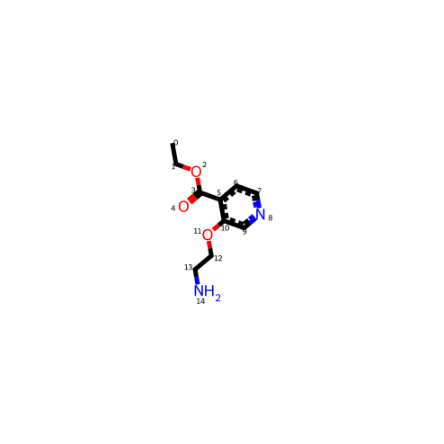 CCOC(=O)c1ccncc1OCCN